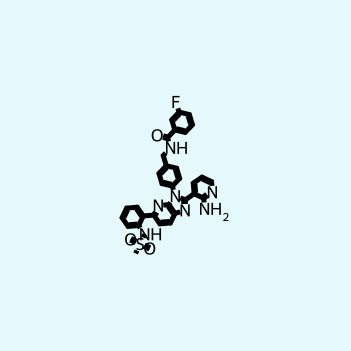 CS(=O)(=O)Nc1ccccc1-c1ccc2nc(-c3cccnc3N)n(-c3ccc(CNC(=O)c4cccc(F)c4)cc3)c2n1